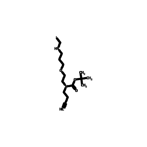 C#CCCN(CCOCCCNCI)C(=O)OC(C)(C)C